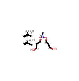 C=C(C)C(=O)O.C=C(C)C(=O)O.CN(OCCCO)OCCCO